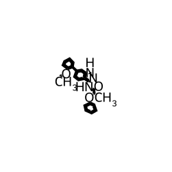 CCOc1ccccc1-c1ccc2c(NC(=O)C(C)Oc3ccccc3)n[nH]c2c1